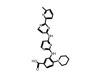 Cc1cccc(-c2nccc(Nc3ccnc(Nc4cc(C(=O)O)ccc4N4CCCCC4)n3)n2)n1